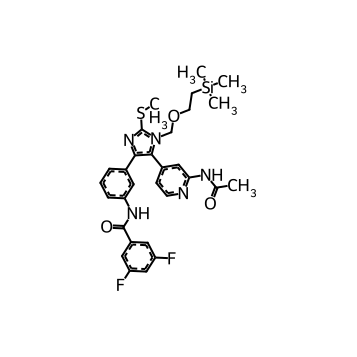 CSc1nc(-c2cccc(NC(=O)c3cc(F)cc(F)c3)c2)c(-c2ccnc(NC(C)=O)c2)n1COCC[Si](C)(C)C